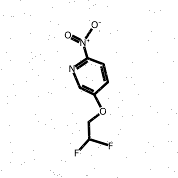 O=[N+]([O-])c1ccc(OCC(F)F)cn1